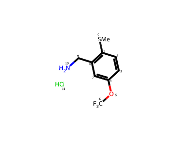 CSc1ccc(OC(F)(F)F)cc1CN.Cl